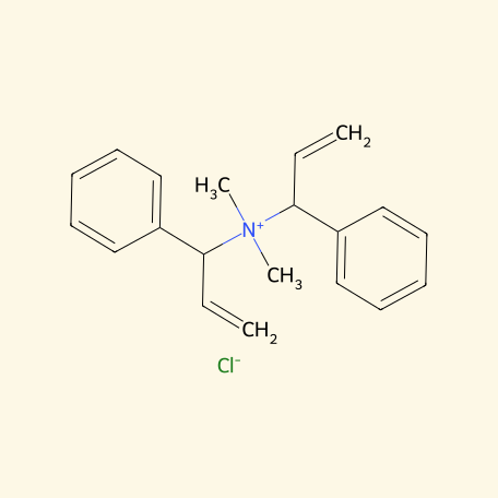 C=CC(c1ccccc1)[N+](C)(C)C(C=C)c1ccccc1.[Cl-]